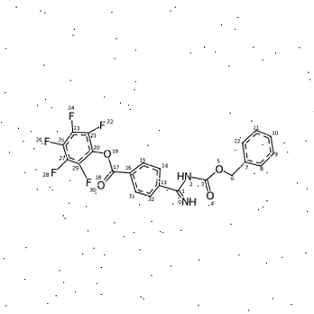 N=C(NC(=O)OCc1ccccc1)c1ccc(C(=O)Oc2c(F)c(F)c(F)c(F)c2F)cc1